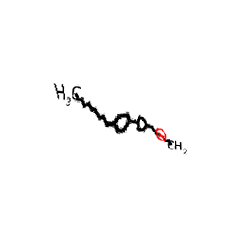 C=CCOCCC1CCC(C2CCC(CCCCCCCCCC)CC2)CC1